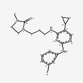 CN1CCN(CCCNc2nc(Nc3cccc(F)c3)ncc2C2CC2)C1=O